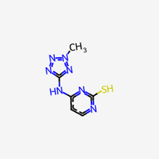 Cn1nnc(Nc2ccnc(S)n2)n1